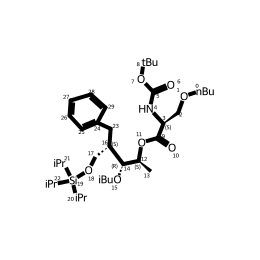 CCCCOC[C@H](NC(=O)OC(C)(C)C)C(=O)O[C@@H](C)[C@H](OCC(C)C)[C@H](CO[Si](C(C)C)(C(C)C)C(C)C)Cc1ccccc1